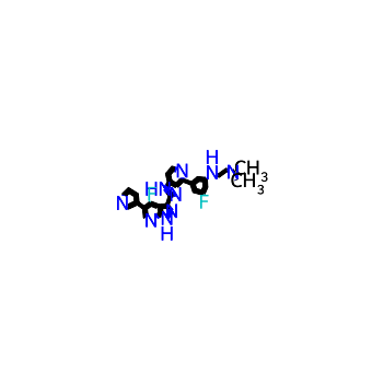 CN(C)CCNc1cc(F)cc(-c2nccc3[nH]c(-c4n[nH]c5ncc(-c6cccnc6)c(F)c45)nc23)c1